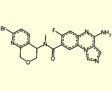 CN(C(=O)c1cc2c(cc1F)nc(N)c1cncn12)C1COCc2nc(Br)ccc21